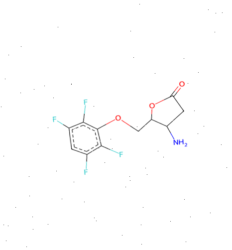 NC1CC(=O)OC1COc1c(F)c(F)cc(F)c1F